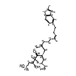 C/C(=C/CCc1ccc2sc(C)nc2c1)CCC[C@H](C)C[C@@H](CCCO)C(=O)C(C)(C)[C@@H](O)CC(=O)O